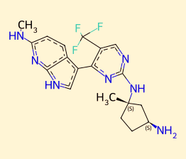 CNc1ccc2c(-c3nc(N[C@@]4(C)CC[C@H](N)C4)ncc3C(F)(F)F)c[nH]c2n1